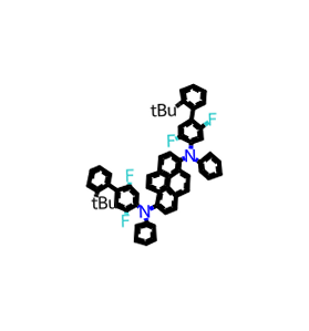 CC(C)(C)c1ccccc1-c1cc(F)c(N(c2ccccc2)c2ccc3ccc4c(N(c5ccccc5)c5cc(F)c(-c6ccccc6C(C)(C)C)cc5F)ccc5ccc2c3c54)cc1F